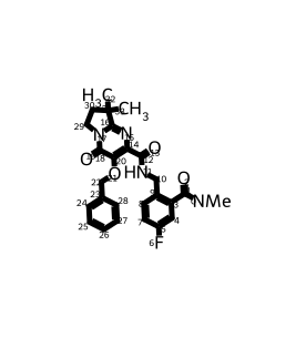 CNC(=O)c1cc(F)ccc1CNC(=O)c1nc2n(c(=O)c1OCc1ccccc1)CCC2(C)C